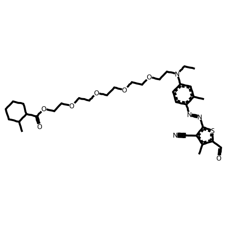 CCN(CCOCCOCCOCCOCCOC(=O)C1CCCCC1C)c1ccc(/N=N/c2sc(C=O)c(C)c2C#N)c(C)c1